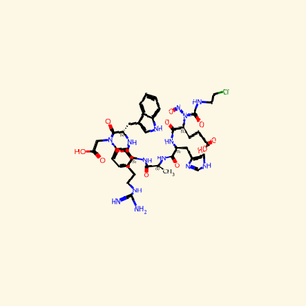 C[C@H](NC(=O)[C@H](Cc1c[nH]cn1)NC(=O)[C@H](CCC(=O)O)N(N=O)C(=O)NCCCl)C(=O)N[C@@H](CCCNC(=N)N)C(=O)N[C@@H](Cc1c[nH]c2ccccc12)C(=O)N(CC(=O)O)c1ccccc1